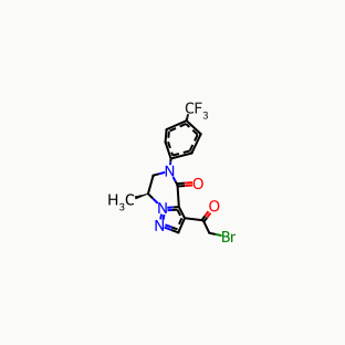 C[C@H]1CN(c2ccc(C(F)(F)F)cc2)C(=O)c2c(C(=O)CBr)cnn21